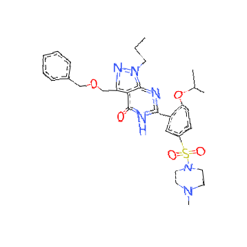 CCCn1nc(COCc2ccccc2)c2c(=O)[nH]c(-c3cc(S(=O)(=O)N4CCN(C)CC4)ccc3OC(C)C)nc21